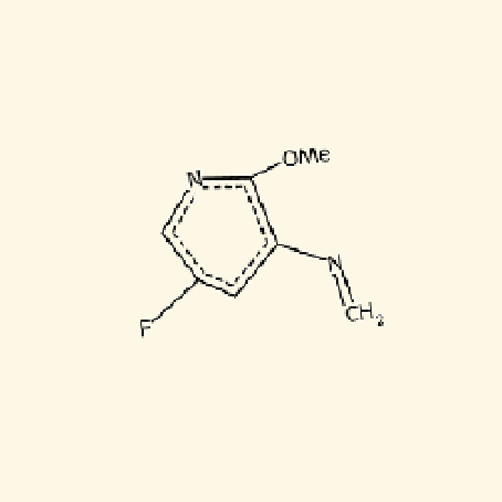 C=Nc1cc(F)cnc1OC